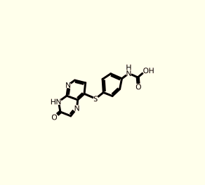 O=C(O)Nc1ccc(Sc2ccnc3[nH]c(=O)cnc23)cc1